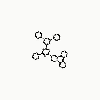 c1ccc(-c2cc(-c3ccccc3)cc(-c3nc(-c4ccccc4)nc(-c4ccc5c6ccccc6c6ccccc6c5c4)n3)c2)cc1